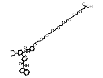 CCN(CC)c1ccc(NC(=O)c2cccc(CSCCOCCOCCOCCOCCOCCOCCOCCOCCC(=O)O)c2)c(-c2cc(C(=O)N[C@H]3CCCc4ccccc43)ccn2)c1